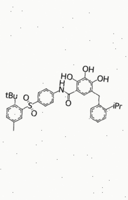 Cc1ccc(C(C)(C)C)c(S(=O)(=O)c2ccc(NC(=O)c3cc(Cc4ccccc4C(C)C)c(O)c(O)c3O)cc2)c1